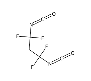 O=C=NC(F)(F)CC(F)(F)N=C=O